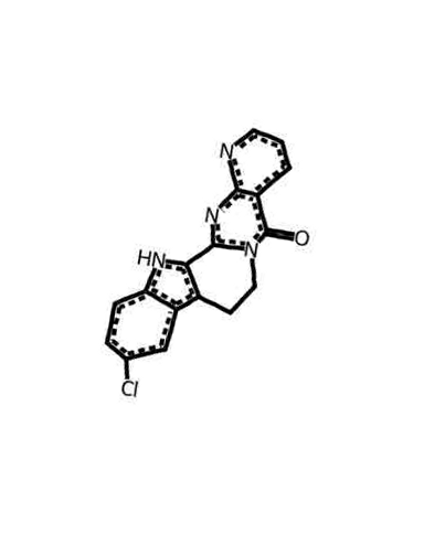 O=c1c2cccnc2nc2n1CCc1c-2[nH]c2ccc(Cl)cc12